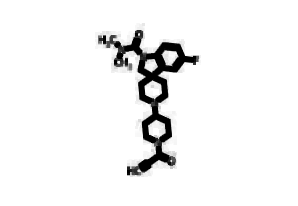 C#CC(=O)N1CCC(N2CCC3(CC2)CN(C(=O)N(C)C)c2ccc(F)cc23)CC1